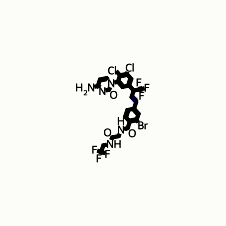 Nc1ccn(-c2cc(C(/C=C/c3ccc(C(=O)NCC(=O)NCC(F)(F)F)c(Br)c3)C(F)(F)F)cc(Cl)c2Cl)c(=O)n1